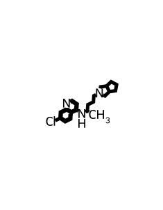 CC(CCCN1CC2CCCC2C1)Nc1ccnc2cc(Cl)ccc12